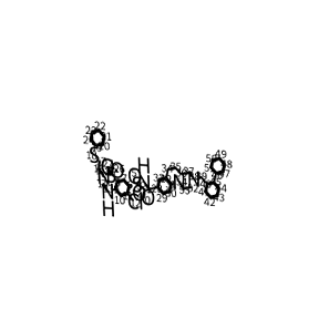 O=C(NS(=O)(=O)c1cc2c(cc1Cl)NCN(CCSc1ccccc1)S2(=O)=O)c1ccc2c(c1)CCC1CN(Cc3ccccc3-c3ccccc3)CCN21